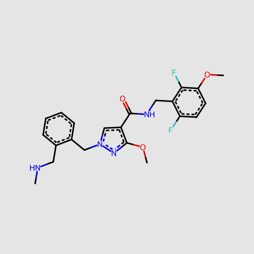 CNCc1ccccc1Cn1cc(C(=O)NCc2c(F)ccc(OC)c2F)c(OC)n1